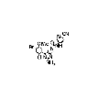 COc1cc(-c2nc(N)nc3c2CN(C(=O)Nc2ccc(C#N)nc2)C3)c(Cl)cc1Br